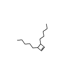 CCCCCC1C=CC1CCCCC